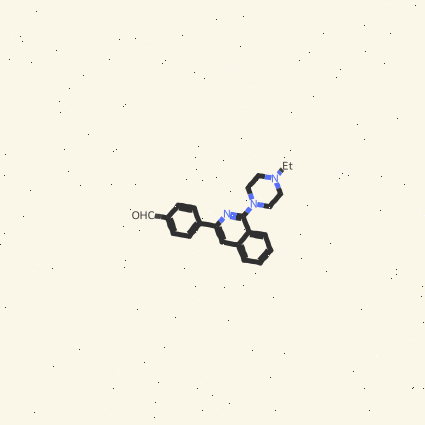 CCN1CCN(c2nc(-c3ccc(C=O)cc3)cc3ccccc23)CC1